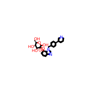 OC[C@H]1OC(O)[C@@](O)(Oc2cccc3ncn(Cc4ccc(-c5cccnc5)cc4)c23)[C@@H](O)[C@@H]1O